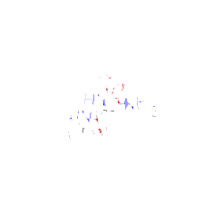 CC(C)NC(=O)C(CC(N)=O)NC=O